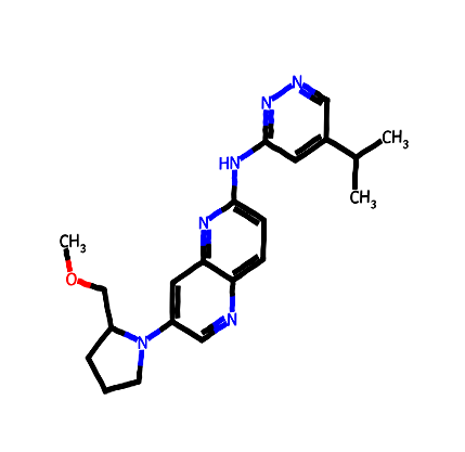 COCC1CCCN1c1cnc2ccc(Nc3cc(C(C)C)cnn3)nc2c1